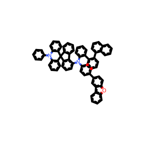 c1ccc(N2c3ccccc3C3(c4ccccc4-c4c(N(c5ccc(-c6ccc7oc8ccccc8c7c6)cc5)c5ccccc5-c5ccccc5-c5cccc6ccccc56)cccc43)c3ccccc32)cc1